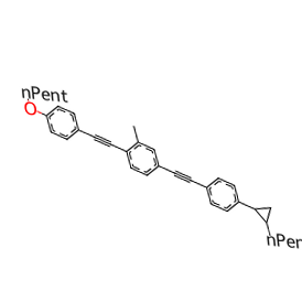 CCCCCOc1ccc(C#Cc2ccc(C#Cc3ccc(C4CC4CCCCC)cc3)cc2C)cc1